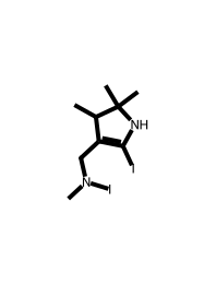 CC1C(CN(C)I)=C(I)NC1(C)C